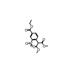 CCOC(=O)c1ccc(C(C(=O)OC)C(=O)OC)c([N+](=O)[O-])c1